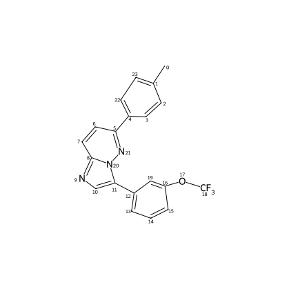 Cc1ccc(-c2ccc3ncc(-c4cccc(OC(F)(F)F)c4)n3n2)cc1